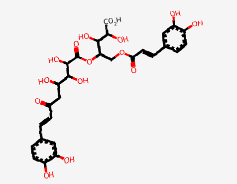 O=C(C=Cc1ccc(O)c(O)c1)CC(O)C(O)C(O)C(=O)OC(COC(=O)C=Cc1ccc(O)c(O)c1)C(O)C(O)C(=O)O